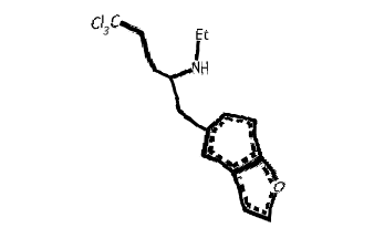 CCNC(CCC(Cl)(Cl)Cl)Cc1ccc2occc2c1